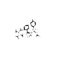 CC(C)N(C(=O)O)N(C(=O)O)C(C)C.Cc1ccc(S(=O)(=O)NNC(N)=O)cc1.c1ccc(-c2nnn[nH]2)cc1